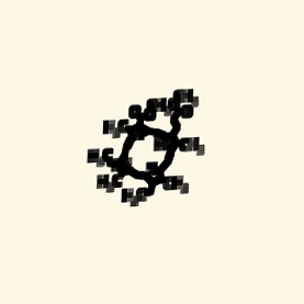 C=CC1=C(C)c2cc3[nH]c(cc4nc(cc5[nH]c(cc1n2)c(C)c5CC)C(C)C4C(=O)OC)c(CCC(=O)OC)c3C